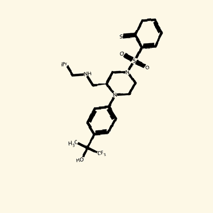 CC(C)CNC[C@H]1CN(S(=O)(=O)C2=CC=CCC2=S)CCN1c1ccc(C(C)(O)C(F)(F)F)cc1